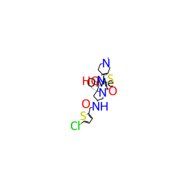 COC[C@@]1(CO)C[C@@H](NC(=O)c2ccc(Cl)s2)CN1C(=O)c1nc2c(s1)CN(C)CC2